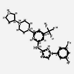 Fc1cc(F)cc(-n2cnc(Nc3cc(C(F)(F)F)cc(N4CCN([C@H]5CCOC5)CC4)n3)n2)c1